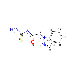 NC(=S)NC(=O)Cn1ncc2ccccc21